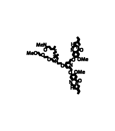 C/C=C1\C[C@H]2C=Nc3cc(OCc4cc(OCCN(CCOCCOCCOC)CC(C)(C)SSC(C)CCC(=O)NC)cc(COc5cc6c(cc5OC)C(=O)N5C/C(=C/C)C[C@H]5C=N6)n4)c(OC)cc3C(=O)N2C1